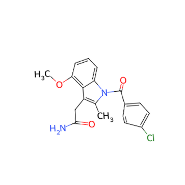 COc1cccc2c1c(CC(N)=O)c(C)n2C(=O)c1ccc(Cl)cc1